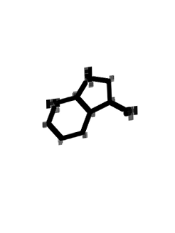 OC1CNC2NCCCC12